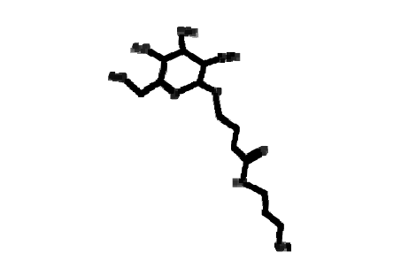 CC(=O)NC1C(OCCCC(=O)NCCCO)OC(COC(C)=O)C(OC(C)=O)C1OC(C)=O